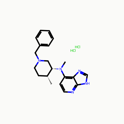 C[C@@H]1CCN(Cc2ccccc2)C[C@@H]1N(C)c1ccnc2[nH]cnc12.Cl.Cl